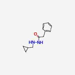 O=C(Cc1ccccc1)NNCC1CC1